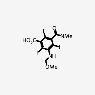 CNC(=O)c1c(I)c(NCOC)c(I)c(C(=O)O)c1I